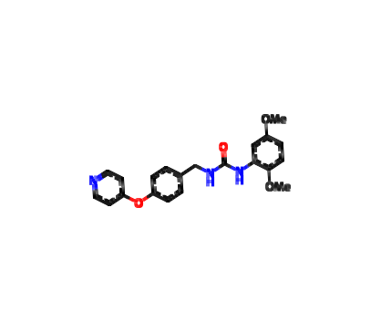 COc1ccc(OC)c(NC(=O)NCc2ccc(Oc3ccncc3)cc2)c1